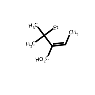 CC=C(C(=O)O)C(C)(C)CC